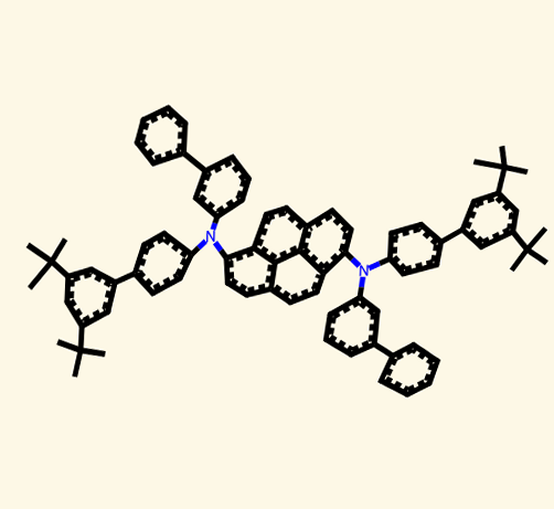 CC(C)(C)c1cc(-c2ccc(N(c3cccc(-c4ccccc4)c3)c3ccc4ccc5c(N(c6ccc(-c7cc(C(C)(C)C)cc(C(C)(C)C)c7)cc6)c6cccc(-c7ccccc7)c6)ccc6ccc3c4c65)cc2)cc(C(C)(C)C)c1